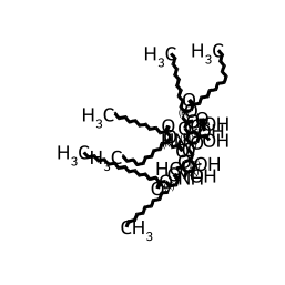 CCCCCCCCCCCCCCCC(=O)O[C@H](CCCCCCCCCCC)CC(=O)NC1C(O)OC(CO[C@@H]2OC(CO)[C@@H](OP(=O)(O)O)C(OC(=O)C[C@@H](CCCCCCCCCCC)OC(=O)CCCCCCCCCCCCC)[C@@H]2NC(=O)C[C@@H](CCCCCCCCCCC)OC(=O)CCCCCCCCCCC)[C@@H](O)[C@@H]1O